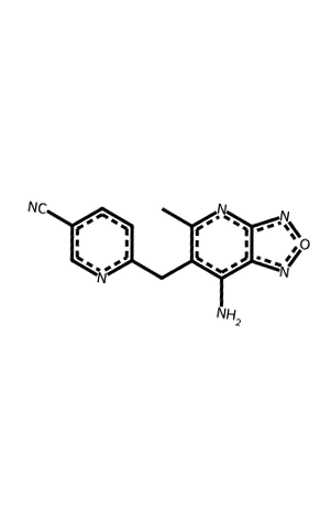 Cc1nc2nonc2c(N)c1Cc1ccc(C#N)cn1